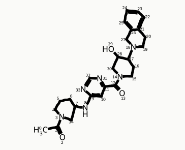 CC(=O)N1CCCC(Nc2cc(C(=O)N3CCC(N4CCc5ccccc5C4)C(O)C3)ncn2)C1